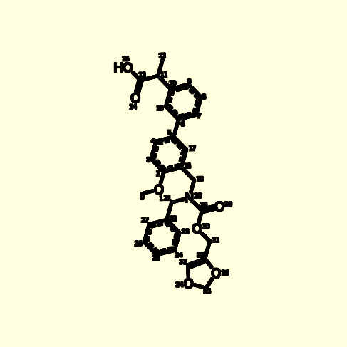 COc1ccc(-c2cccc(C(C)C(=O)O)c2)cc1CN(Cc1ccccc1)C(=O)OCC1=COCO1